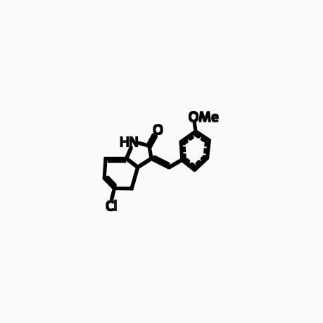 COc1cccc(C=C2C(=O)NC3=CC=C(Cl)CC32)c1